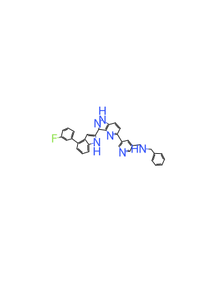 Fc1cccc(-c2cccc3[nH]c(-c4n[nH]c5ccc(-c6cncc(CNCc7ccccc7)c6)nc45)cc23)c1